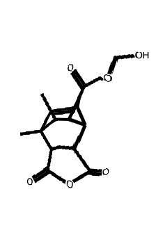 CC1=CC2(C)C(C)C(C(=O)OCO)C1C1C(=O)OC(=O)C12